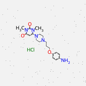 Cl.Cn1c(N2CCN(CCCOc3ccc(N)cc3)CC2)cc(=O)n(C)c1=O